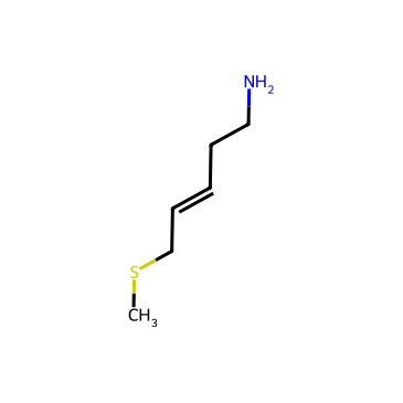 CSCC=CCCN